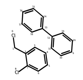 ClCc1ccccc1Cl.c1ccc(-c2ccccc2)cc1